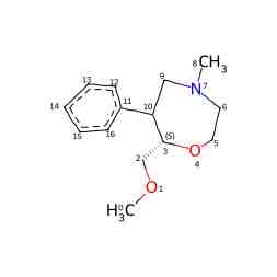 COC[C@H]1OCCN(C)CC1c1ccccc1